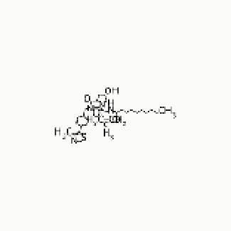 CCCCCCCCCC(=O)N[C@H](C(=O)N1C[C@H](O)C[C@H]1C(=O)NCc1ccc(-c2scnc2C)cc1)C(C)(C)C